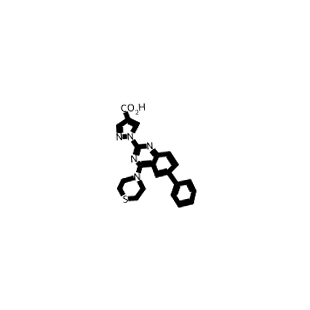 O=C(O)c1cnn(-c2nc(N3CCSCC3)c3cc(-c4ccccc4)ccc3n2)c1